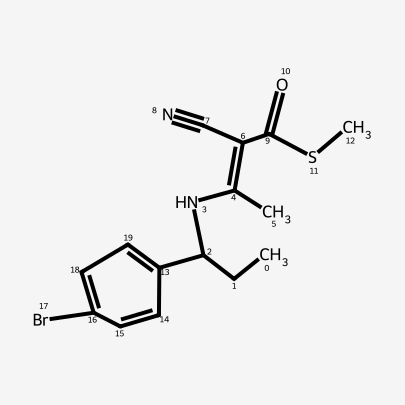 CCC(NC(C)=C(C#N)C(=O)SC)c1ccc(Br)cc1